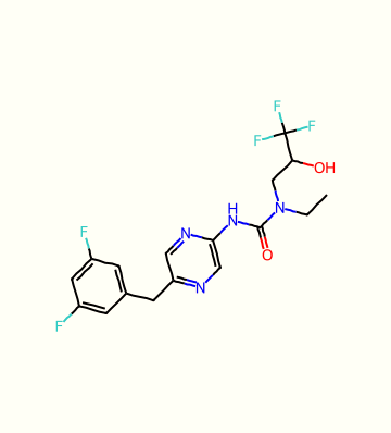 CCN(CC(O)C(F)(F)F)C(=O)Nc1cnc(Cc2cc(F)cc(F)c2)cn1